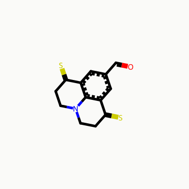 O=Cc1cc2c3c(c1)C(=S)CCN3CCC2=S